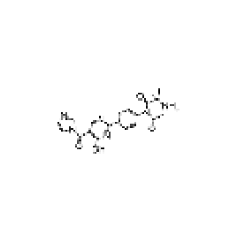 CC(=O)N(C(=O)[C@@H](C)N)c1ccc(-c2ncc(C(=O)n3ccnc3)c(O)n2)cc1